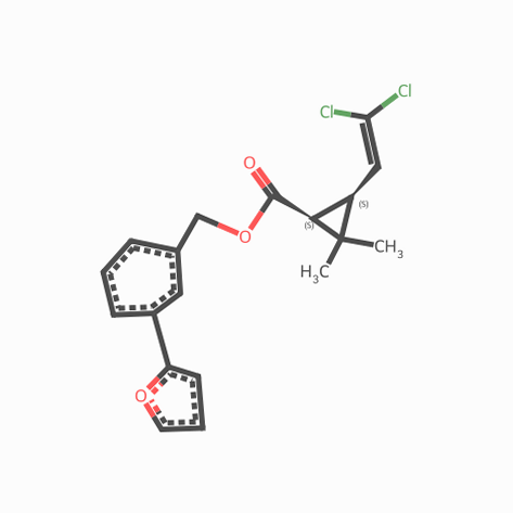 CC1(C)[C@H](C=C(Cl)Cl)[C@@H]1C(=O)OCc1cccc(-c2ccco2)c1